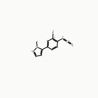 Cn1nccc1-c1ccc(N=C=O)c(F)c1